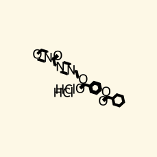 Cl.Cl.O=C(OCCN1CCN(CC(=O)N2CCOCC2)CC1)c1ccc(OC(=O)C2CCCCC2)cc1